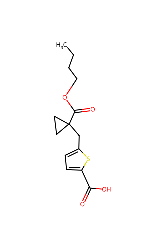 CCCCOC(=O)C1(Cc2ccc(C(=O)O)s2)CC1